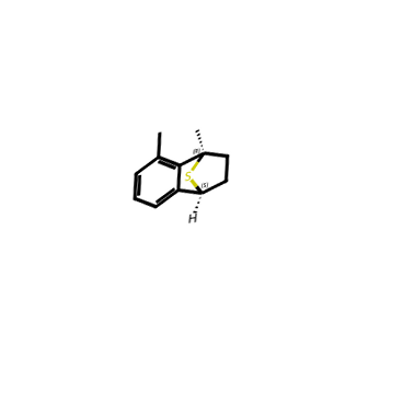 Cc1cccc2c1[C@@]1(C)CC[C@@H]2S1